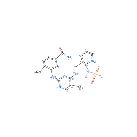 COc1ccc(C(N)=O)cc1Nc1ncc(C(F)(F)F)c(NCc2cccnc2N(C)S(C)(=O)=O)n1